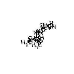 C=C1CCN(c2cc3c(Nc4ccc(Oc5ccn6ncnc6c5)c(C)c4)ncnc3cc2OCCN(C)C)C1=O